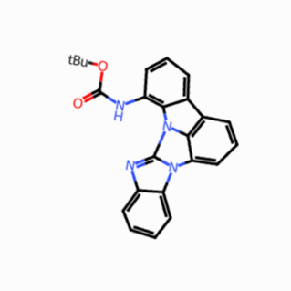 CC(C)(C)OC(=O)Nc1cccc2c3cccc4c3n(c12)c1nc2ccccc2n41